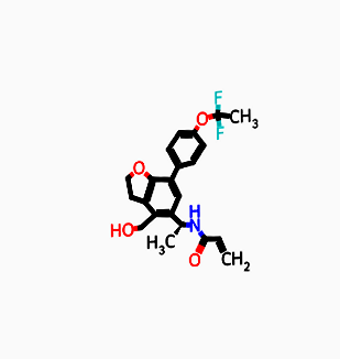 C=CC(=O)N[C@@H](C)c1cc(-c2ccc(OC(C)(F)F)cc2)c2c(c1CO)CCO2